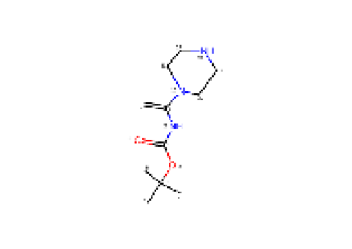 C=C(NC(=O)OC(C)(C)C)N1CCNCC1